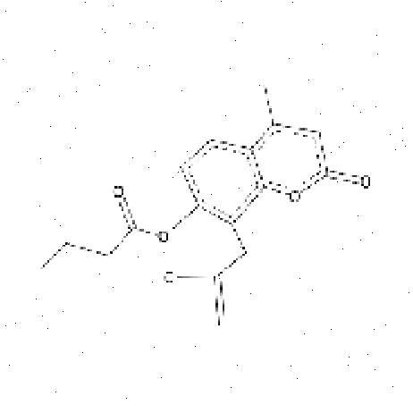 C=C(Cl)Cc1c(OC(=O)CCC)ccc2c(C)cc(=O)oc12